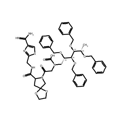 C[C@H](OCc1ccccc1)[C@H](OCc1ccccc1)[C@@H](OCc1ccccc1)[C@H](CN(CC(=O)N1CC2(CC1C(=O)NCc1nc(C(=N)N)cs1)OCCO2)C(=O)O)OCc1ccccc1